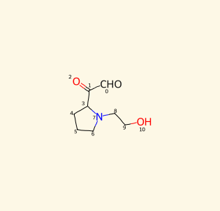 O=CC(=O)C1CCCN1CCO